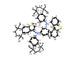 Cc1cc2c3c(c1)N(c1cccc4sc5ccccc5c14)c1cc4c(cc1B3c1sc3cc5c(cc3c1N2c1ccc2c(c1)C(C)(C)CCC2(C)C)C(C)(C)CCC5(C)C)C(C)(C)CCC4(C)C